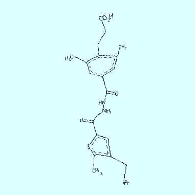 Cc1cc(C(=O)NNC(=O)c2cc(CC(C)C)c(C)s2)cc(C)c1CCC(=O)O